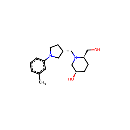 Cc1cccc(N2CC[C@H](CN3C[C@H](O)CC[C@@H]3CO)C2)c1